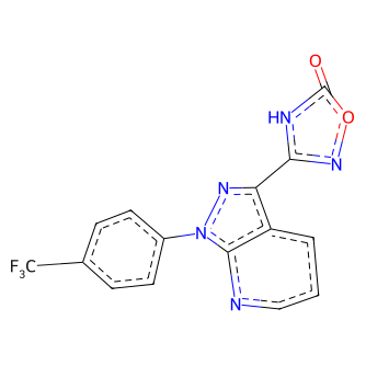 O=c1[nH]c(-c2nn(-c3ccc(C(F)(F)F)cc3)c3ncccc23)no1